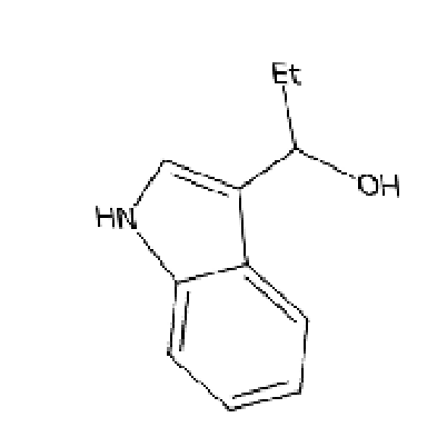 CCC(O)c1c[nH]c2ccccc12